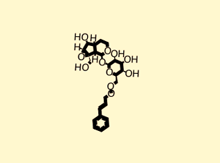 OC[C@]12O[C@H]1[C@@H](O)[C@@H]1CCO[C@@H](O[C@@H]3O[C@H](COOC/C=C/c4ccccc4)[C@@H](O)[C@H](O)[C@H]3O)[C@@H]12